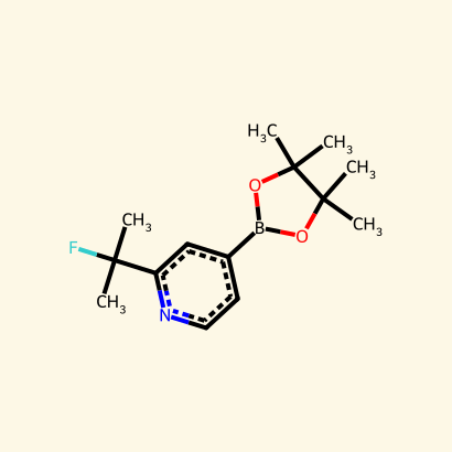 CC(C)(F)c1cc(B2OC(C)(C)C(C)(C)O2)ccn1